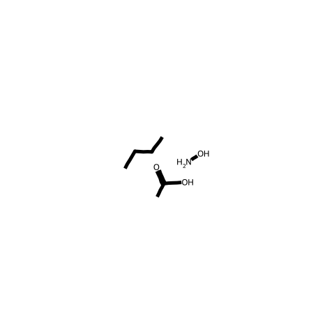 CC(=O)O.CCCC.NO